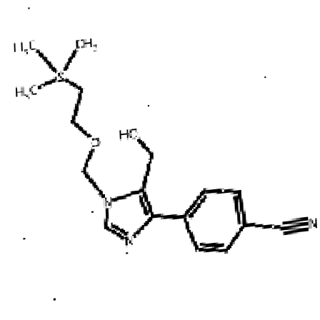 CS(C)(C)CCOCn1cnc(-c2ccc(C#N)cc2)c1CO